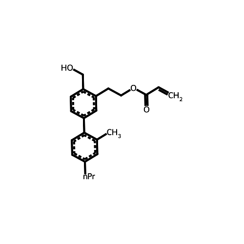 C=CC(=O)OCCc1cc(-c2ccc(CCC)cc2C)ccc1CO